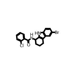 O=C(NC1CCCc2c1[nH]c1ccc(Br)cc21)c1ccccc1Cl